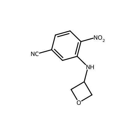 N#Cc1ccc([N+](=O)[O-])c(NC2COC2)c1